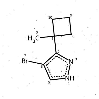 CC1(c2n[nH]cc2Br)CCC1